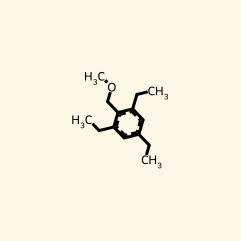 CCc1cc(CC)c(COC)c(CC)c1